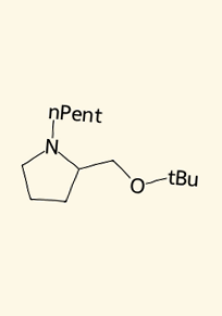 CCCCCN1CCCC1COC(C)(C)C